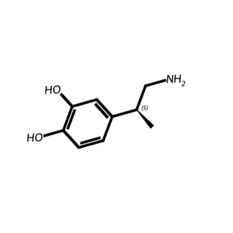 C[C@H](CN)c1ccc(O)c(O)c1